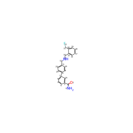 NC(=O)c1cccc(-c2ccc(CNCc3ccccc3CF)cc2)c1